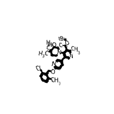 Cc1cccc(Cl)c1COc1ccc(-c2cnc(C)c([C@H](OC(C)(C)C)C(=O)O)c2N2CCC(C)(C)CC2)cn1